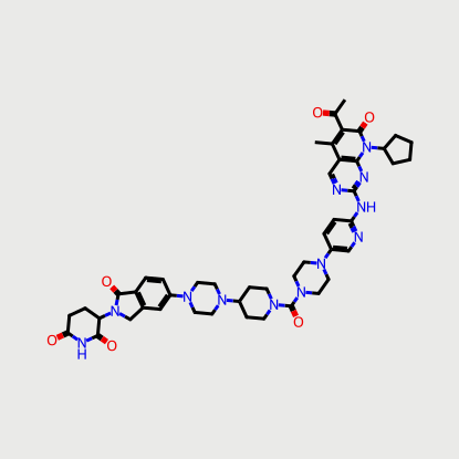 CC(=O)c1c(C)c2cnc(Nc3ccc(N4CCN(C(=O)N5CCC(N6CCN(c7ccc8c(c7)CN(C7CCC(=O)NC7=O)C8=O)CC6)CC5)CC4)cn3)nc2n(C2CCCC2)c1=O